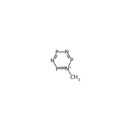 C[n+]1pnpnp1